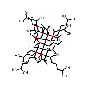 CCCCC(CC)(C(O)(C(O)(CCCC(O)O)C(CC)(CC(C)C)C(O)CCCC(O)O)C(O)(CCCC(O)O)C(CC)(CC(C)C)C(O)CCCC(O)O)C(O)(C(O)(CCCC(O)O)C(CC)(CC(C)C)C(O)CCCC(O)O)C(O)(CCCC(O)O)C(CC)(CC(C)C)C(O)CCCC(O)O